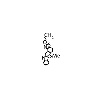 C=CCOc1nc2c(Cc3nc4ccccc4s3)c(SC)ccc2s1